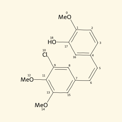 COc1ccc(/C=C\c2cc(Cl)c(OC)c(OC)c2)cc1O